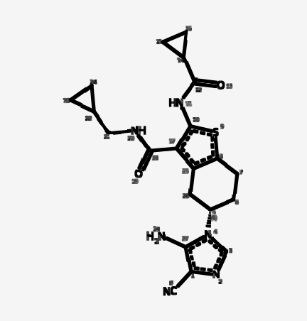 N#Cc1ncn([C@H]2CCc3sc(NC(=O)C4CC4)c(C(=O)NCC4CC4)c3C2)c1N